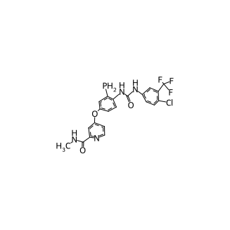 CNC(=O)c1cc(Oc2ccc(NC(=O)Nc3ccc(Cl)c(C(F)(F)F)c3)c(P)c2)ccn1